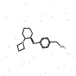 CCc1ccc(C=C2CCCCC2N2CCC2)cc1